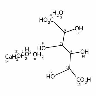 O.O.O.O.O=C(O)C(O)C(O)C(O)C(O)C(=O)O.[CaH2]